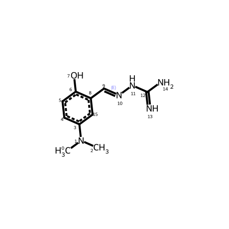 CN(C)c1ccc(O)c(/C=N/NC(=N)N)c1